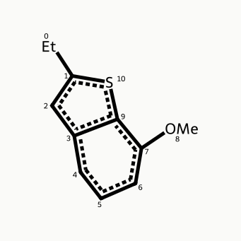 CCc1cc2cccc(OC)c2s1